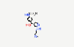 CN(C)CCCNc1cc(C(O)c2ccc(NC(=O)O)cc2)ccn1